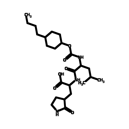 CCCCC1CCC(OC(=O)NC(CC(C)C)C(=O)NC(CC2CCNC2=O)C(=O)O)CC1